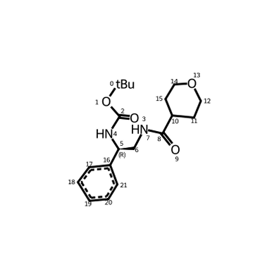 CC(C)(C)OC(=O)N[C@@H](CNC(=O)C1CCOCC1)c1ccccc1